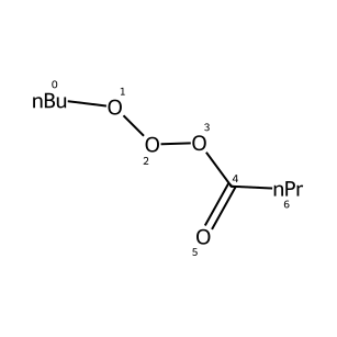 CCCCOOOC(=O)CCC